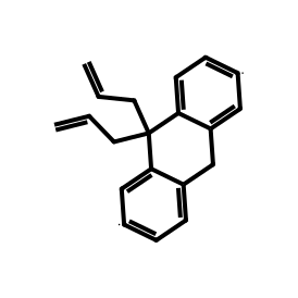 C=CCC1(CC=C)c2c[c]ccc2Cc2c[c]ccc21